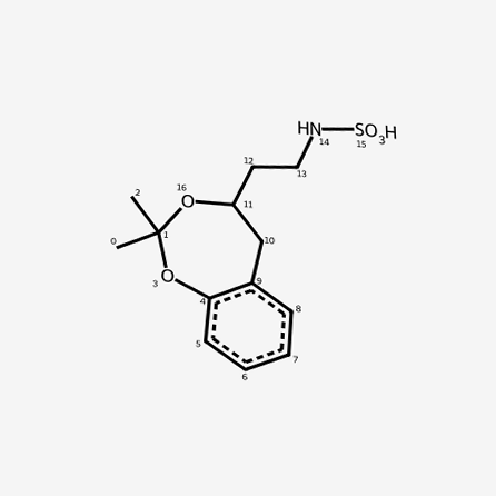 CC1(C)Oc2ccccc2CC(CCNS(=O)(=O)O)O1